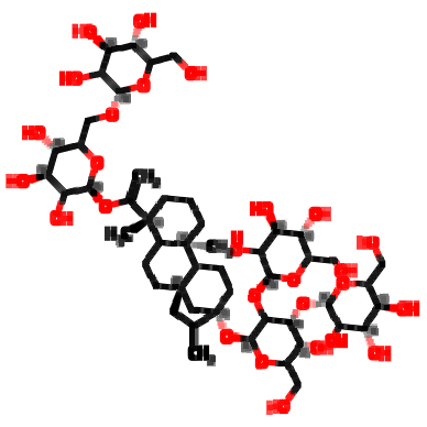 C=C1C[C@@]23CCC4[C@@](C)(CCC[C@@]4(C)C(=C)O[C@@H]4OC(CO[C@H]5OC(CO)[C@@H](O)[C@H](O)C5O)[C@@H](O)[C@H](O)C4O)C2CC[C@]1(O[C@@H]1OC(CO)[C@@H](O)[C@@H](O[C@@H]2OC(CO)[C@@H](O)[C@H](O)C2O)C1O[C@@H]1OC(CO)[C@@H](O)[C@H](O)C1O)C3